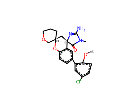 CCOc1ccc(Cl)cc1-c1ccc2c(c1)[C@]1(C[C@@]3(CCCOC3)O2)N=C(N)N(C)C1=O